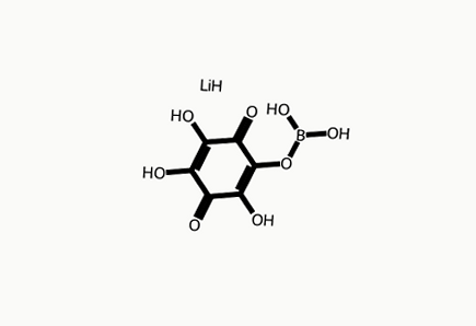 O=C1C(O)=C(O)C(=O)C(OB(O)O)=C1O.[LiH]